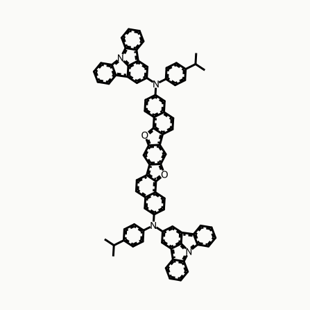 CC(C)c1ccc(N(c2ccc3c(ccc4c5cc6oc7c8ccc(N(c9ccc(C(C)C)cc9)c9cc%10c%11ccccc%11n%11c%12ccccc%12c(c9)c%10%11)cc8ccc7c6cc5oc34)c2)c2cc3c4ccccc4n4c5ccccc5c(c2)c34)cc1